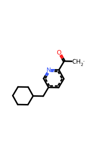 [CH2]C(=O)c1ccc(CC2CCCCC2)cn1